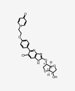 O=c1ccn(CCOc2ccc(-c3nc4nc(O[C@@H]5CO[C@H]6[C@@H]5OC[C@H]6O)[nH]c4cc3Cl)cc2)cc1